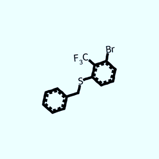 FC(F)(F)c1c(Br)cccc1SCc1ccccc1